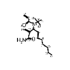 C=CC(=O)N(C(CCCCCCC)C(=C)C(N)=O)C(C)(C)C